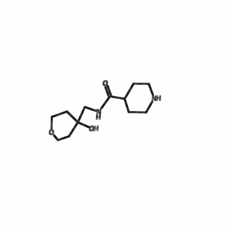 O=C(NCC1(O)CCOCC1)C1CCNCC1